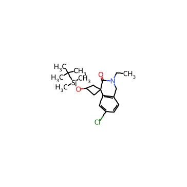 CCN1Cc2ccc(Cl)cc2C2(CC(O[Si](C)(C)C(C)(C)C)C2)C1=O